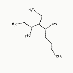 CCCCC(O)C(CC)C(O)CC